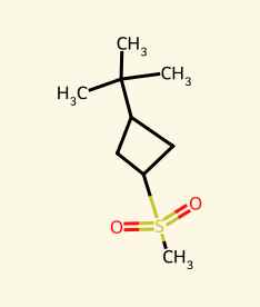 CC(C)(C)C1CC(S(C)(=O)=O)C1